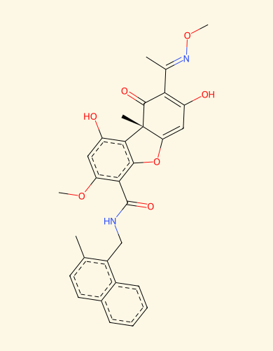 CO/N=C(\C)C1=C(O)C=C2Oc3c(C(=O)NCc4c(C)ccc5ccccc45)c(OC)cc(O)c3[C@]2(C)C1=O